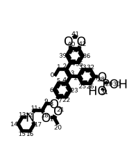 CCC(=C(c1ccc(OCC(CN2CCCCC2)OC(C)=O)cc1)c1ccc(OP(O)O)cc1)c1ccc2c(c1)OCO2